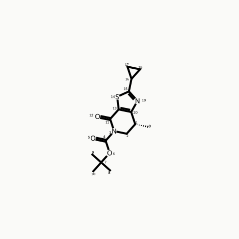 C[C@@H]1CN(C(=O)OC(C)(C)C)C(=O)c2sc(C3CC3)nc21